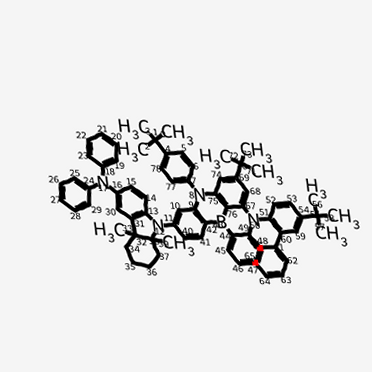 CC(C)(C)c1ccc(N2c3cc(N4c5ccc(N(c6ccccc6)c6ccccc6)cc5C5(C)CCCCC45C)ccc3B3c4ccccc4N(c4ccc(C(C)(C)C)cc4-c4ccccc4)c4cc(C(C)(C)C)cc2c43)cc1